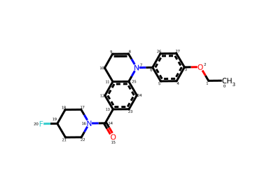 CCOc1ccc(N2C=CCc3cc(C(=O)N4CCC(F)CC4)ccc32)cc1